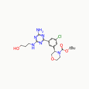 CC(C)(C)OC(=O)N1CCOC[C@H]1c1cc(Cl)cc(-c2nc(N)nc(NCCCO)n2)c1